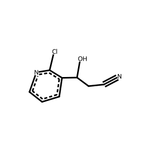 N#CCC(O)c1cccnc1Cl